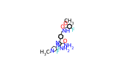 CCN1CCC(n2nc(-c3ccc(CNC(=O)c4cc(F)ccc4OC)cc3)c(C(N)=O)c2N)C(F)(F)C1